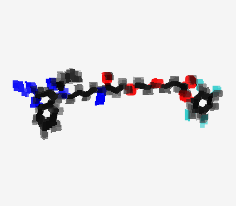 CCCCc1nc2c(N)nc3ccccc3c2n1CCCCNC(=O)CCOCCOCCC(=O)Oc1c(F)c(F)cc(F)c1F